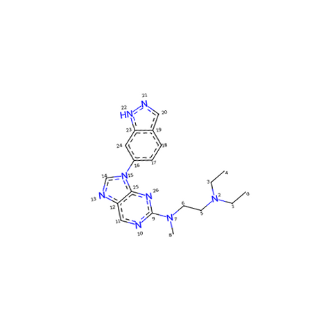 CCN(CC)CCN(C)c1ncc2ncn(-c3ccc4cn[nH]c4c3)c2n1